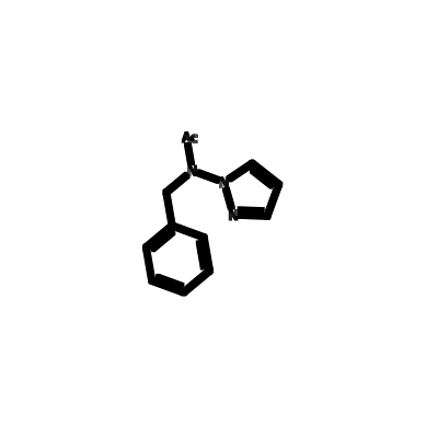 CC(=O)N(Cc1ccccc1)n1cccn1